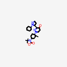 Cc1cc(N2C(=O)OCC2(C)C)ccc1-n1ccc(=O)c(-c2ccnn2-c2ccccc2)n1